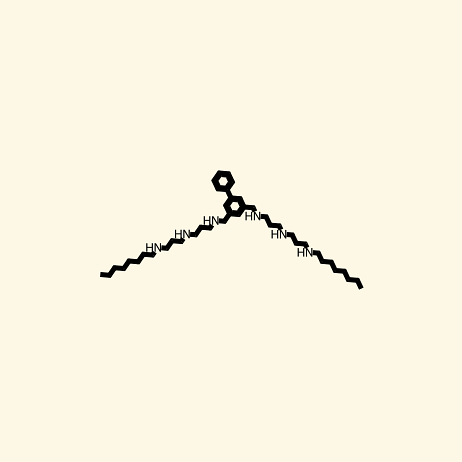 CCCCCCCCNCCCNCCCNCc1cc(CNCCCNCCCNCCCCCCCC)cc(-c2ccccc2)c1